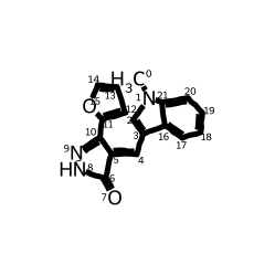 Cn1cc(C=C2C(=O)NN=C2c2ccco2)c2ccccc21